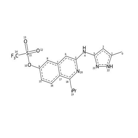 Cc1cc(Nc2cc3cc(OS(=O)(=O)C(F)(F)F)ccc3c(C(C)C)n2)n[nH]1